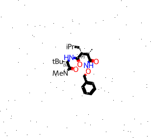 CNC(=O)[C@@H](NC(=O)[C@H](CC(C)C)[C@H](C)C(=O)NOCc1ccccc1)C(C)(C)C